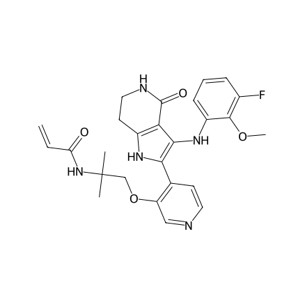 C=CC(=O)NC(C)(C)COc1cnccc1-c1[nH]c2c(c1Nc1cccc(F)c1OC)C(=O)NCC2